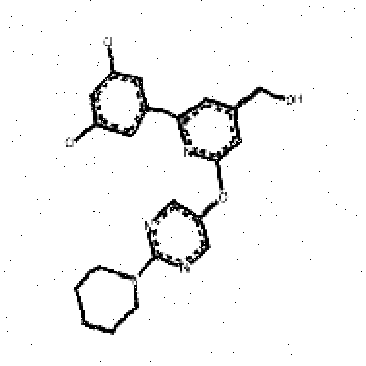 OCc1cc(Oc2cnc(N3CCCCC3)nc2)nc(-c2cc(Cl)cc(Cl)c2)c1